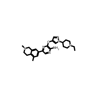 CCN1CCC(n2cc(Oc3nc(-c4cc(C)c5c(c4)CN(C)CC5)cnc3N)cn2)CC1